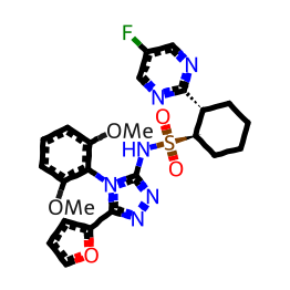 COc1cccc(OC)c1-n1c(NS(=O)(=O)[C@@H]2CCCC[C@H]2c2ncc(F)cn2)nnc1-c1ccco1